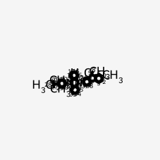 Cc1ccc2c(c1)C(C)(C)c1cc(N3c4ccccc4N(c4ccc(C(C)(C)C)cc4)c4ccccc43)ccc1-2